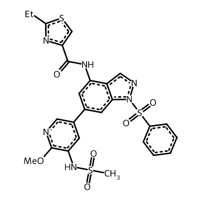 CCc1nc(C(=O)Nc2cc(-c3cnc(OC)c(NS(C)(=O)=O)c3)cc3c2cnn3S(=O)(=O)c2ccccc2)cs1